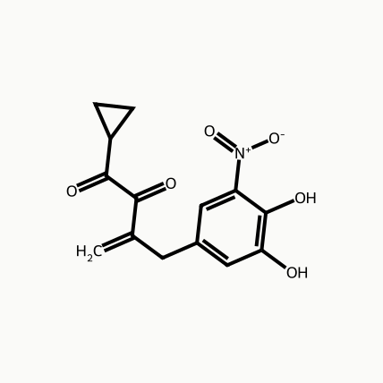 C=C(Cc1cc(O)c(O)c([N+](=O)[O-])c1)C(=O)C(=O)C1CC1